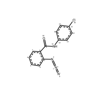 [N-]=[N+]=Nc1ccccc1C(=O)Nc1ccc(Cl)cc1